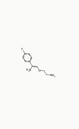 BC(=COCCN)c1ccc(F)cc1